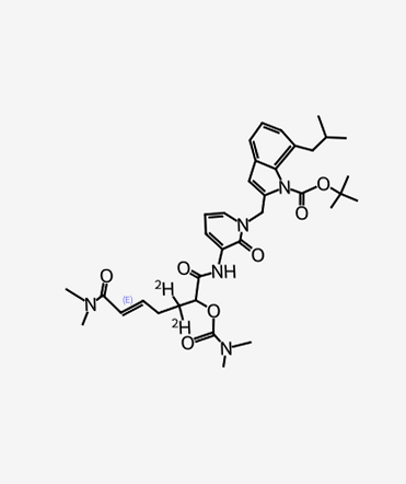 [2H]C([2H])(C/C=C/C(=O)N(C)C)C(OC(=O)N(C)C)C(=O)Nc1cccn(Cc2cc3cccc(CC(C)C)c3n2C(=O)OC(C)(C)C)c1=O